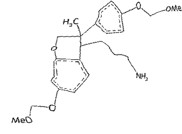 COCOc1ccc(C2(C)COc3cc(OCOC)ccc3C2CCCN)cc1